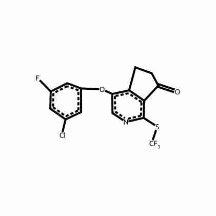 O=C1CCc2c(Oc3cc(F)cc(Cl)c3)cnc(SC(F)(F)F)c21